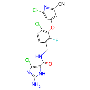 N#Cc1cc(Oc2c(Cl)ccc(CNC(=O)c3[nH]c(N)nc3Cl)c2F)cc(Cl)n1